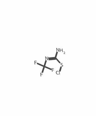 NC(=NC(F)(F)F)SCl